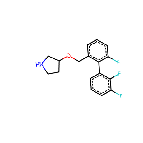 Fc1cccc(-c2c(F)cccc2COC2CCNC2)c1F